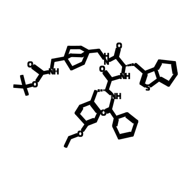 CCOc1ccc(C[C@@H](NC(=O)c2ccccc2)C(=O)N[C@@H](Cc2csc3ccccc23)C(=O)NCC23CCC(CNC(=O)OC(C)(C)C)(CC2)CC3)cc1